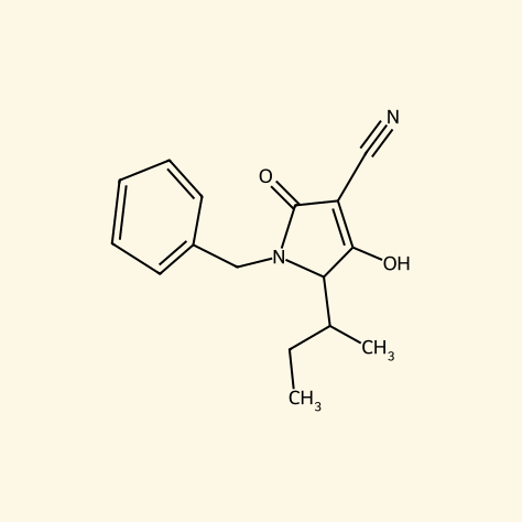 CCC(C)C1C(O)=C(C#N)C(=O)N1Cc1ccccc1